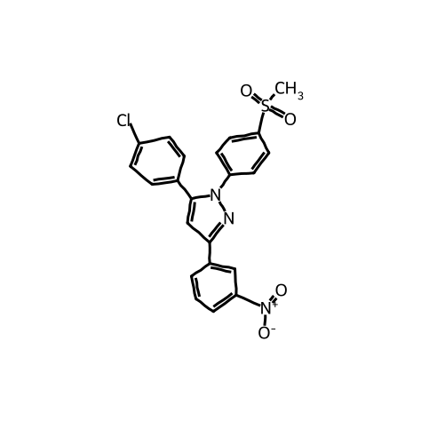 CS(=O)(=O)c1ccc(-n2nc(-c3cccc([N+](=O)[O-])c3)cc2-c2ccc(Cl)cc2)cc1